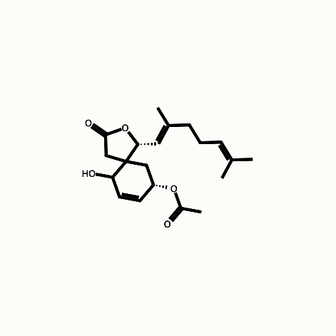 CC(=O)O[C@@H]1C=CC(O)C2(CC(=O)O[C@@H]2/C=C(\C)CCC=C(C)C)C1